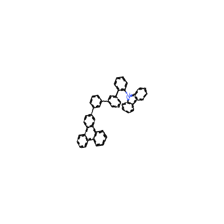 c1cc(-c2cccc(-c3ccccc3-n3c4ccccc4c4ccccc43)c2)cc(-c2ccc3c4ccccc4c4ccccc4c3c2)c1